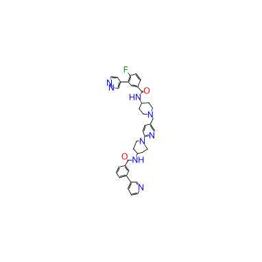 O=C(NC1CCN(Cc2ccc(N3CCC(NC(=O)c4cccc(-c5cccnc5)c4)CC3)nc2)CC1)c1ccc(F)c(-c2ccnnc2)c1